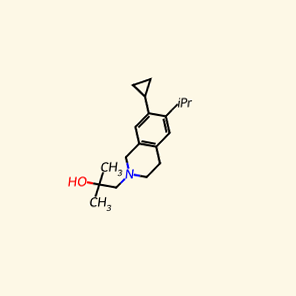 CC(C)c1cc2c(cc1C1CC1)CN(CC(C)(C)O)CC2